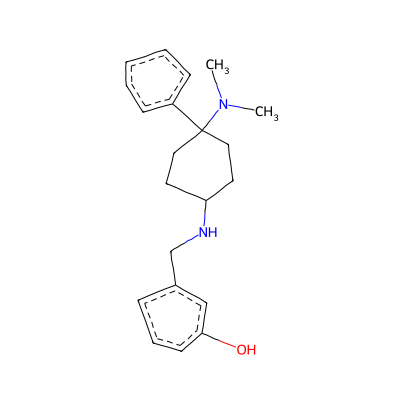 CN(C)C1(c2ccccc2)CCC(NCc2cccc(O)c2)CC1